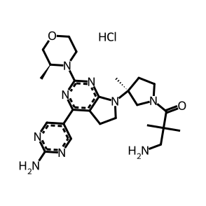 C[C@H]1COCCN1c1nc(-c2cnc(N)nc2)c2c(n1)N([C@@]1(C)CCN(C(=O)C(C)(C)CN)C1)CC2.Cl